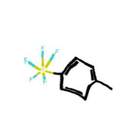 Cc1ccc(S(F)(F)(F)(F)F)cc1